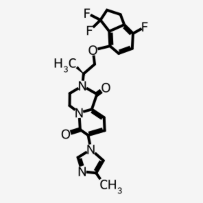 Cc1cn(-c2ccc3n(c2=O)CCN([C@@H](C)COc2ccc(F)c4c2C(F)(F)CC4)C3=O)cn1